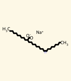 CCCCCCCC/C=C\CCCCCCCCC(CCCCCCCCCC)C(=O)[O-].[Na+]